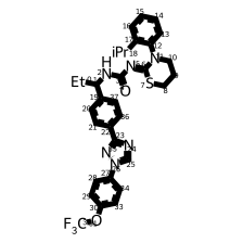 CCC(NC(=O)/N=C1\SCCCN1c1ccccc1C(C)C)c1ccc(-c2ncn(-c3ccc(OC(F)(F)F)cc3)n2)cc1